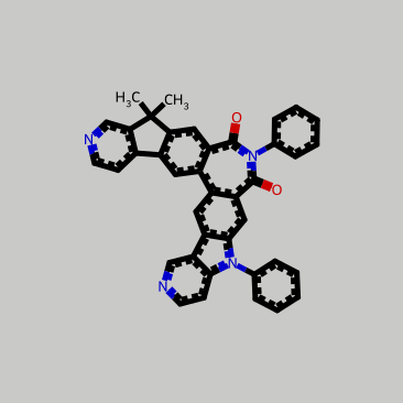 CC1(C)c2cnccc2-c2cc3c(cc21)c(=O)n(-c1ccccc1)c(=O)c1cc2c(cc13)c1cnccc1n2-c1ccccc1